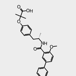 COc1ccc(-c2ccccc2)cc1C(=O)N[C@@H](C)Cc1ccc(OC(C)(C)C(=O)O)cc1